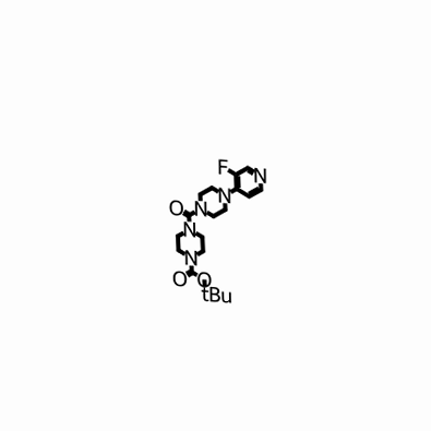 CC(C)(C)OC(=O)N1CCN(C(=O)N2CCN(c3ccncc3F)CC2)CC1